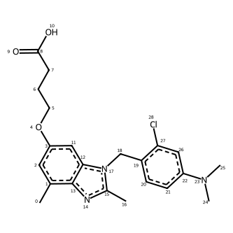 Cc1cc(OCCCC(=O)O)cc2c1nc(C)n2Cc1ccc(N(C)C)cc1Cl